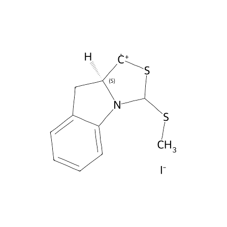 CSC1S[C+][C@@H]2Cc3ccccc3N12.[I-]